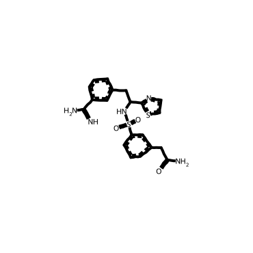 N=C(N)c1cccc(CC(NS(=O)(=O)c2cccc(CC(N)=O)c2)c2nccs2)c1